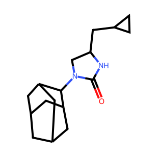 O=C1NC(CC2CC2)CN1C1C2CC3CC(C2)CC1C3